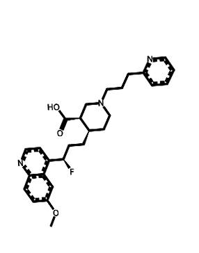 COc1ccc2nccc([C@H](F)CC[C@@H]3CCN(CCCc4ccccn4)C[C@@H]3C(=O)O)c2c1